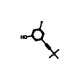 C[Si](C)(C)C#Cc1cc(O)cc(F)c1